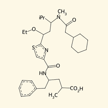 CCOC(CC(C(C)C)N(C)C(=O)CC1CCCCC1)c1nc(C(=O)NC(Cc2ccccc2)CC(C)C(=O)O)cs1